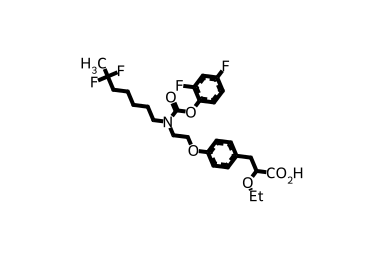 CCOC(Cc1ccc(OCCN(CCCCCC(C)(F)F)C(=O)Oc2ccc(F)cc2F)cc1)C(=O)O